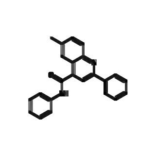 Cc1ccc2nc(-c3ccccc3)cc(C(=O)Nc3ccccc3)c2c1